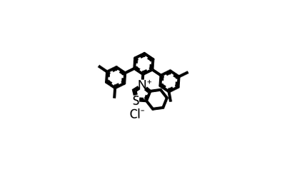 Cc1cc(C)cc(-c2cccc(-c3cc(C)cc(C)c3)c2-[n+]2csc3c2CCCC3)c1.[Cl-]